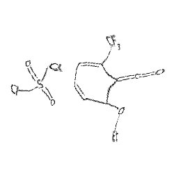 CCOC1C=CC=C(C(F)(F)F)C1=C=O.O=S(=O)(Cl)Cl